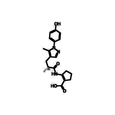 Cc1c(C[C@@H](C)C(=O)NC2=C(C(=O)O)CCC2)cnn1-c1ccc(O)cc1